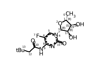 C[C@H]1O[C@@H](n2cc(F)c(NC(=O)CC(C)(C)C)nc2=O)[C@H](O)[C@@H]1O